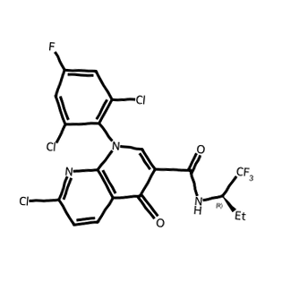 CC[C@@H](NC(=O)c1cn(-c2c(Cl)cc(F)cc2Cl)c2nc(Cl)ccc2c1=O)C(F)(F)F